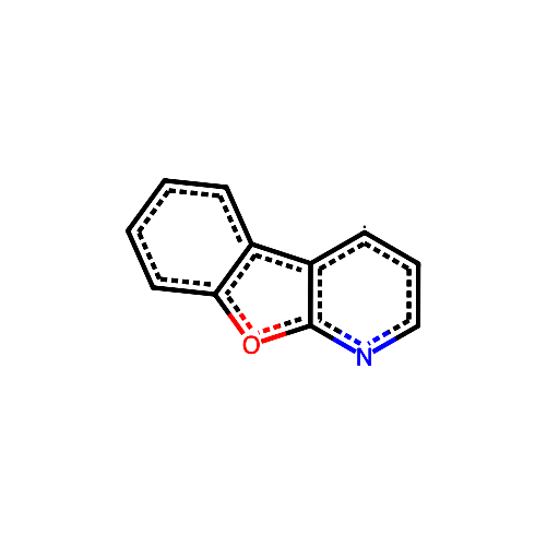 [c]1ccnc2oc3ccccc3c12